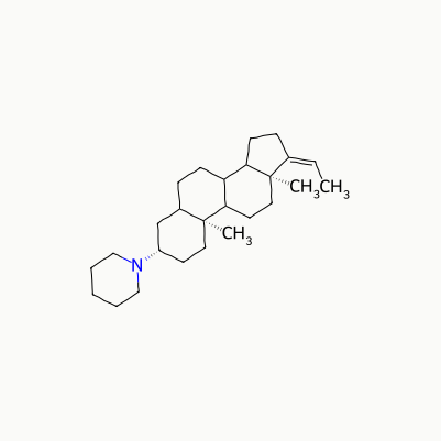 C/C=C1/CCC2C3CCC4C[C@@H](N5CCCCC5)CC[C@]4(C)C3CC[C@]12C